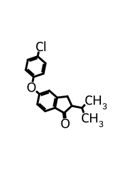 CC(C)C1Cc2cc(Oc3ccc(Cl)cc3)ccc2C1=O